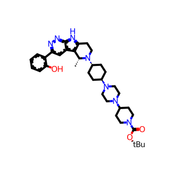 C[C@@H]1c2c([nH]c3nnc(-c4ccccc4O)cc23)CCN1[C@H]1CC[C@H](N2CCN(C3CCN(C(=O)OC(C)(C)C)CC3)CC2)CC1